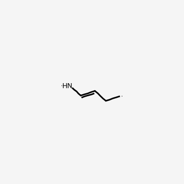 [CH2]CC=C[NH]